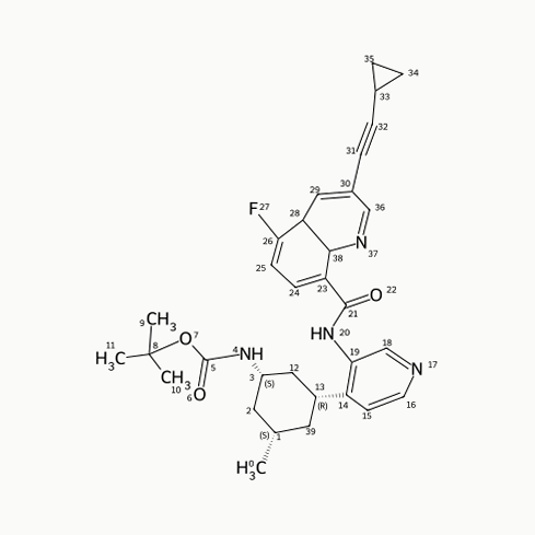 C[C@@H]1C[C@H](NC(=O)OC(C)(C)C)C[C@H](c2ccncc2NC(=O)C2=CC=C(F)C3C=C(C#CC4CC4)C=NC23)C1